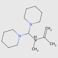 C=C(C)[SiH](C)C(N1CCCCC1)N1CCCCC1